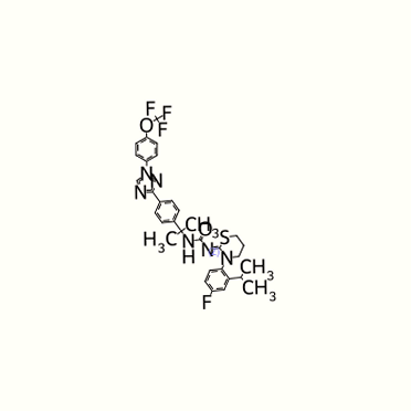 CC(C)c1cc(F)ccc1N1CCCS/C1=N\C(=O)NC(C)(C)c1ccc(-c2ncn(-c3ccc(OC(F)(F)F)cc3)n2)cc1